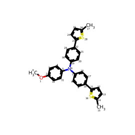 COc1ccc(N(c2ccc(-c3ccc(C)s3)cc2)c2ccc(-c3ccc(C)s3)cc2)cc1